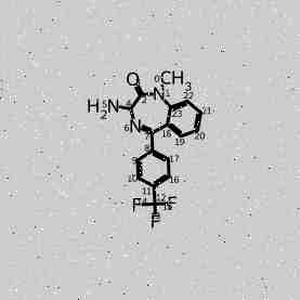 CN1C(=O)C(N)N=C(c2ccc(C(F)(F)F)cc2)c2ccccc21